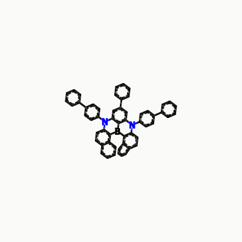 c1ccc(-c2ccc(N3c4cc(-c5ccccc5)cc5c4B(c4c3ccc3ccccc43)c3c(ccc4ccccc34)N5c3ccc(-c4ccccc4)cc3)cc2)cc1